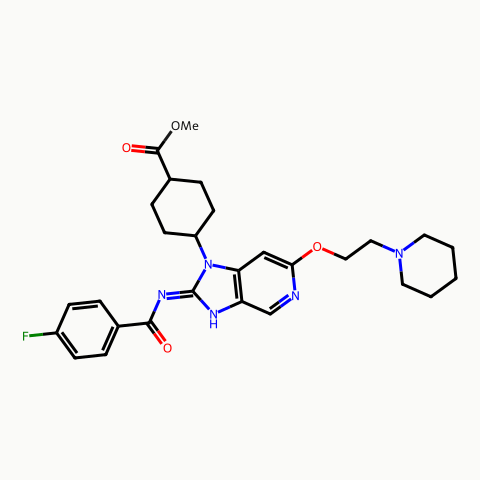 COC(=O)C1CCC(n2/c(=N/C(=O)c3ccc(F)cc3)[nH]c3cnc(OCCN4CCCCC4)cc32)CC1